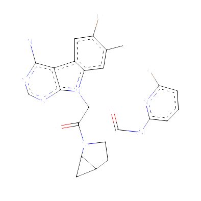 Cc1cc2c(cc1Br)c1c(N)ncnc1n2CC(=O)N1C2C[C@@H]2C[C@H]1C(=O)Nc1cccc(Br)n1